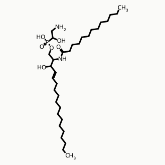 CCCCCCCCCCCCCC=CC(O)C(COP(=O)(O)C(O)CN)NC(=O)CCCCCCCCCCCC